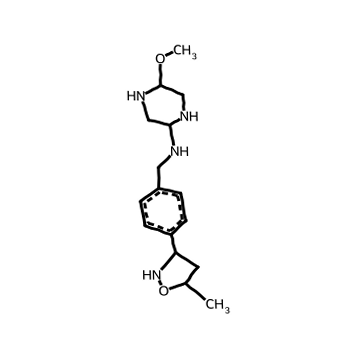 COC1CNC(NCc2ccc(C3CC(C)ON3)cc2)CN1